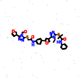 CCn1c(SC(C)(C)C(=O)Nc2ccccc2)nnc1-c1coc(-c2ccc(NC(=O)CSc3nnc(C4C=COC4)n3C=O)cc2)c1